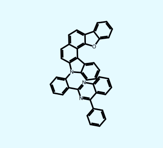 c1ccc(-c2nc(-c3ccccc3-n3c4ccccc4c4c5c(ccc6c7ccccc7oc65)ccc43)nc3ccccc23)cc1